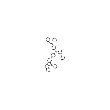 c1ccc(-c2cccc(N(c3ccc(-c4ccc5c6ccc7ccccc7c6n(-c6ccccc6)c5c4)cc3)c3ccc(-c4cc5ccccc5c5ccccc45)cc3)c2)cc1